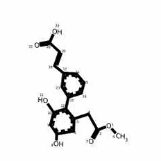 COC(=O)Cc1cc(O)cc(O)c1-c1cccc(C=CC(=O)O)c1